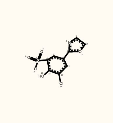 O=S(=O)(Cl)c1cc(-c2ncco2)cc(Cl)c1O